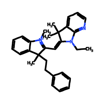 CCN1C(=CC2=[N+](C)c3ccccc3C2(C)CCc2ccccc2)C(C)(C)c2cccnc21